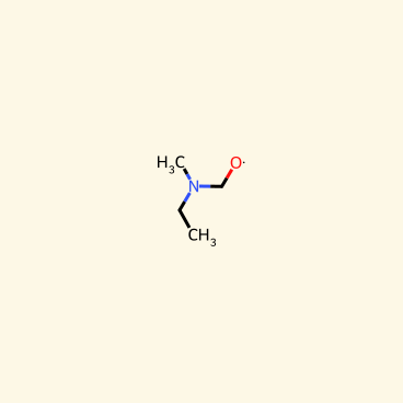 CCN(C)C[O]